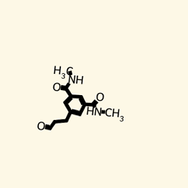 CNC(=O)c1cc(CCC=O)cc(C(=O)NC)c1